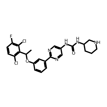 CC(Oc1cccc(-c2ncc(NC(=O)NC3CCCNC3)cn2)c1)c1c(Cl)ccc(F)c1Cl